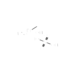 CCC.O.O=S(=O)(O)O.[NaH]